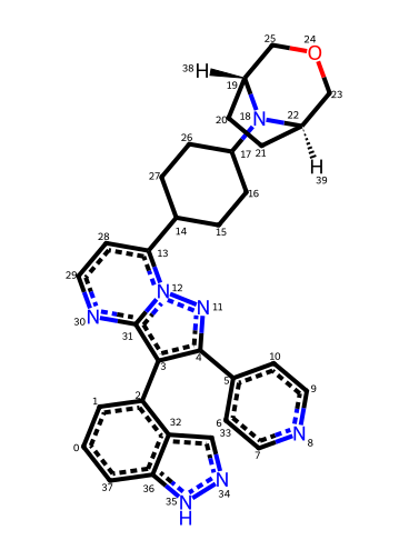 c1cc(-c2c(-c3ccncc3)nn3c(C4CCC(N5[C@@H]6CC[C@@H]5COC6)CC4)ccnc23)c2cn[nH]c2c1